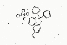 C=Cc1ccc(C[P+](c2ccccc2)(c2ccccc2)c2ccccc2)cc1.[Cl][Fe-]([Cl])([Cl])[Cl]